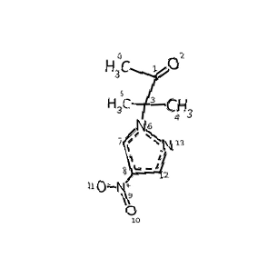 CC(=O)C(C)(C)n1cc([N+](=O)[O-])cn1